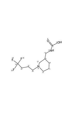 O=C(O)NCC1CCCN(CCCC(F)(F)F)C1